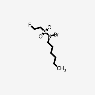 CCCCCCN(Br)S(=O)(=O)CCF